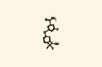 NC(=O)c1cc(F)cc(OC2=C=C=C3C(=C2)C(O)C3(F)F)c1